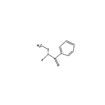 CSC(F)C(=O)c1ccccc1